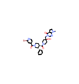 Cn1ccc2c(=O)n(CC3(O)CCN(C(=O)[C@@H]4CCN(C(=O)c5ccnc(Br)c5)C[C@H]4c4ccccc4)CC3)cnc21